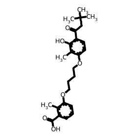 Cc1c(OCCCCOc2ccc(C(=O)CC(C)(C)C)c(O)c2C)cccc1C(=O)O